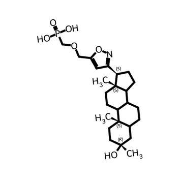 C[C@@]1(O)CC[C@@]2(C)C(CCC3C2CC[C@@]2(C)C3CC[C@@H]2c2cc(COCP(=O)(O)O)on2)C1